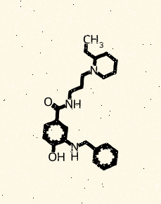 CCC1CCCCN1CCCNC(=O)c1ccc(O)c(NCc2ccccc2)c1